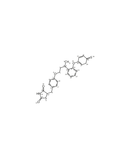 CN(CCOc1ccc(CC2SC(=O)NC2=O)cc1)c1cccnc1OC1=CCC(=S)C=C1